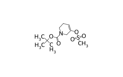 CC(C)(C)OC(=O)N1CCC=C(OS(C)(=O)=O)C1